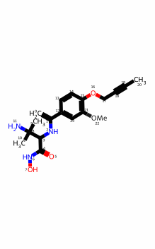 C=C(NC(C(=O)NO)C(C)(C)N)c1ccc(OCC#CC)c(OC)c1